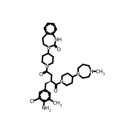 Cc1cc(C[C@@H](CC(=O)N2CCC(N3CCc4ccccc4NC3=O)CC2)C(=O)N2CCC(N3CCCN(C)CC3)CC2)cc(Cl)c1N